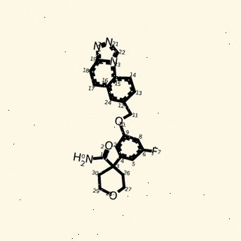 NC(=O)C1(c2cc(F)cc(OCc3ccc4c(ccc5nncn54)c3)c2)CCOCC1